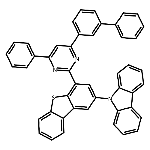 c1ccc(-c2cccc(-c3cc(-c4ccccc4)nc(-c4cc(-n5c6ccccc6c6ccccc65)cc5c4sc4ccccc45)n3)c2)cc1